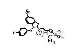 CC(C)(C)[Si](C)(C)OCCN(C(=O)O)C1Cc2cc(Br)ccc2C1Sc1ccc(F)cc1